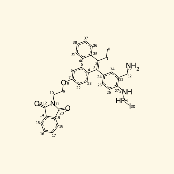 CC/C(=C(/c1ccc(OCCN2C(=O)c3ccccc3C2=O)cc1)c1ccc(NPI)c(CN)c1)c1ccccc1